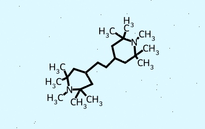 CN1C(C)(C)CC(CCC2CC(C)(C)N(C)C(C)(C)C2)CC1(C)C